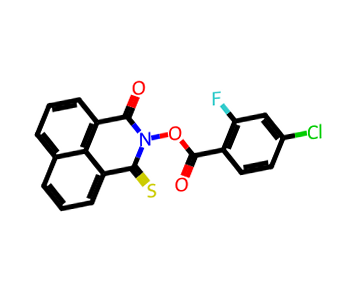 O=C(ON1C(=O)c2cccc3cccc(c23)C1=S)c1ccc(Cl)cc1F